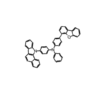 c1ccc(N(c2ccc(-c3cccc4c3oc3ccccc34)cc2)c2ccc(-n3c4ccccc4c4ccc5ccccc5c43)cc2)cc1